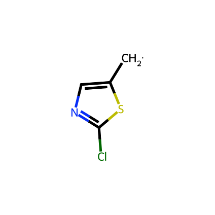 [CH2]c1cnc(Cl)s1